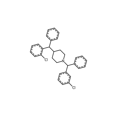 Clc1cccc(C(c2ccccc2)N2CCC(C(c3ccccc3)c3ccccc3Cl)CC2)c1